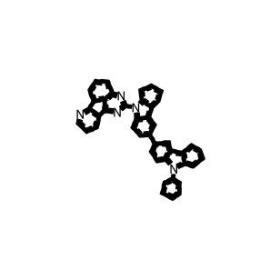 c1ccc(-n2c3ccccc3c3cc(-c4ccc5c(c4)c4ccccc4n5-c4nc5c6c(cccc6n4)-c4ncccc4-5)ccc32)cc1